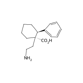 NCC[C@@]1(C(=O)O)CCCC[C@H]1c1ccccc1